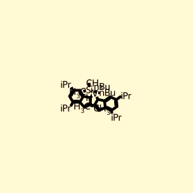 CCC[CH2][V]([CH2]CCC)([CH]1C(C)=Cc2c(C(C)C)cc(C(C)C)cc21)([CH]1C(C)=Cc2c(C(C)C)cc(C(C)C)cc21)[SiH](C)C